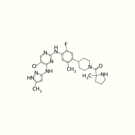 Cc1cc(Nc2nc(Nc3cc(C)c(C4CCN(C(=O)C5(C)CCCN5)CC4)cc3F)ncc2Cl)n[nH]1